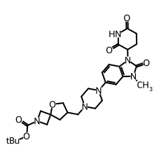 Cn1c(=O)n(C2CCC(=O)NC2=O)c2ccc(N3CCN(CC4COC5(C4)CN(C(=O)OC(C)(C)C)C5)CC3)cc21